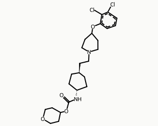 O=C(N[C@H]1CC[C@H](CCN2CCC(Oc3cccc(Cl)c3Cl)CC2)CC1)OC1CCOCC1